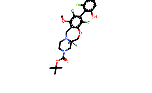 COc1c(Cl)c(-c2c(O)cccc2F)c(Cl)c2c1CN1CCN(C(=O)OC(C)(C)C)C[C@@H]1CO2